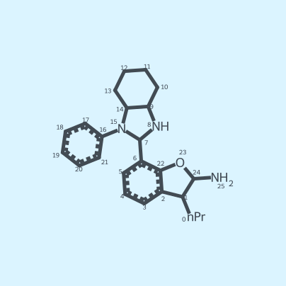 CCCC1c2cccc(C3NC4CCCCC4N3c3ccccc3)c2OC1N